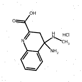 CNC1(N)CC(C(=O)O)=Nc2ccccc21.Cl